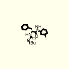 CC(C)(C)OC(=O)N[C@@H](Cc1ccccc1)C(=O)N(N)c1cccc(I)c1